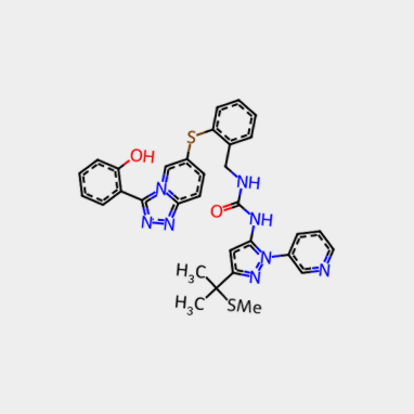 CSC(C)(C)c1cc(NC(=O)NCc2ccccc2Sc2ccc3nnc(-c4ccccc4O)n3c2)n(-c2cccnc2)n1